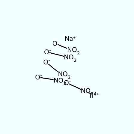 O=[N+]([O-])[O-].O=[N+]([O-])[O-].O=[N+]([O-])[O-].O=[N+]([O-])[O-].O=[N+]([O-])[O-].[Na+].[Ti+4]